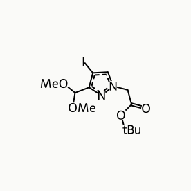 COC(OC)c1nn(CC(=O)OC(C)(C)C)cc1I